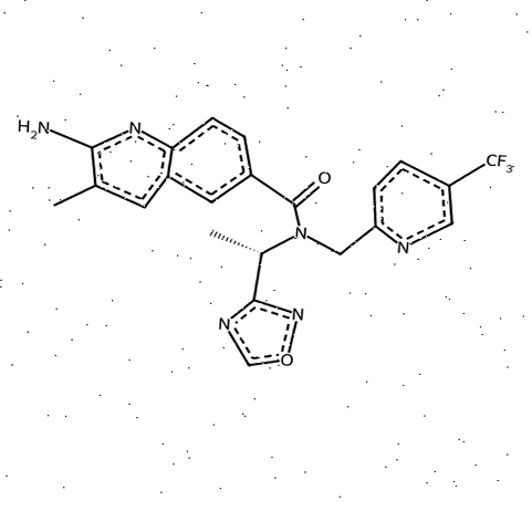 Cc1cc2cc(C(=O)N(Cc3ccc(C(F)(F)F)cn3)[C@@H](C)c3ncon3)ccc2nc1N